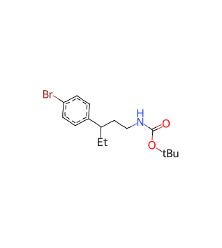 CCC(CCNC(=O)OC(C)(C)C)c1ccc(Br)cc1